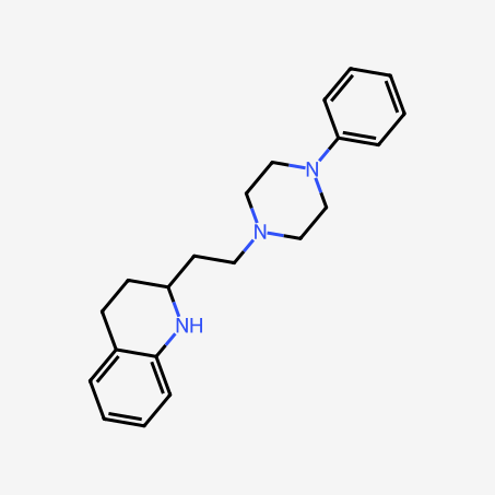 c1ccc(N2CCN(CCC3CCc4ccccc4N3)CC2)cc1